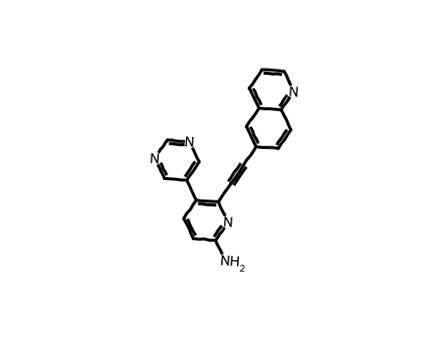 Nc1ccc(-c2cncnc2)c(C#Cc2ccc3ncccc3c2)n1